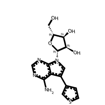 Nc1ncnc2c1c(-c1ccsc1)cn2[C@@H]1O[C@H](CO)[C@@H](O)[C@H]1O